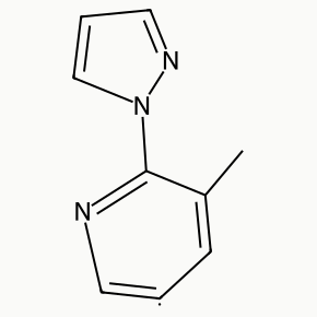 Cc1c[c]cnc1-n1cccn1